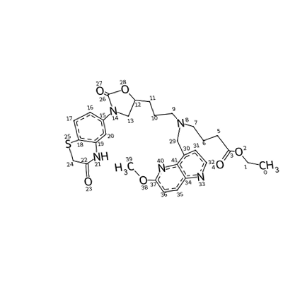 CCOC(=O)CCCN(CCCC1CN(c2ccc3c(c2)NC(=O)CS3)C(=O)O1)Cc1ccnc2ccc(OC)nc12